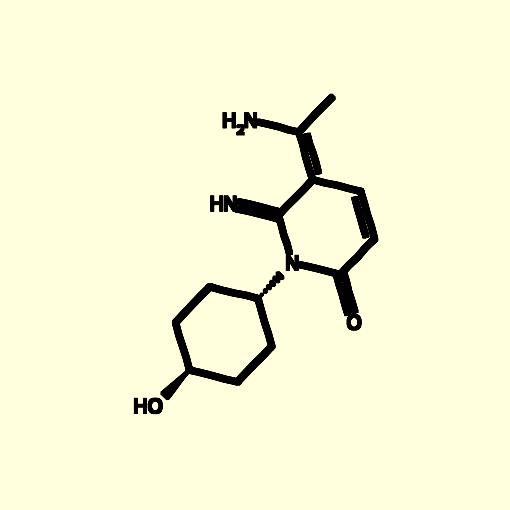 C/C(N)=C1\C=CC(=O)N([C@H]2CC[C@H](O)CC2)C1=N